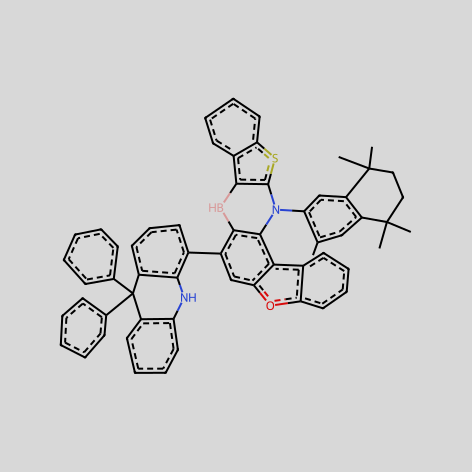 Cc1cc2c(cc1N1c3sc4ccccc4c3Bc3c(-c4cccc5c4Nc4ccccc4C5(c4ccccc4)c4ccccc4)cc4oc5ccccc5c4c31)C(C)(C)CCC2(C)C